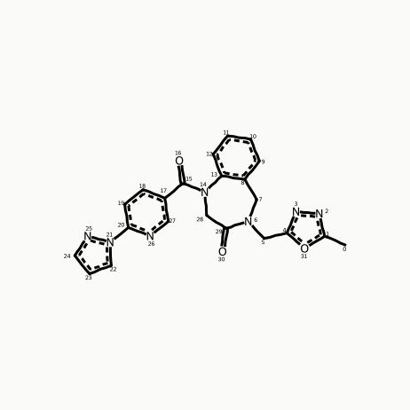 Cc1nnc(CN2Cc3ccccc3N(C(=O)c3ccc(-n4cccn4)nc3)CC2=O)o1